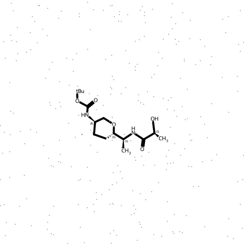 C[C@H](O)C(=O)N[C@@H](C)[C@@H]1CC[C@@H](NC(=O)OC(C)(C)C)CO1